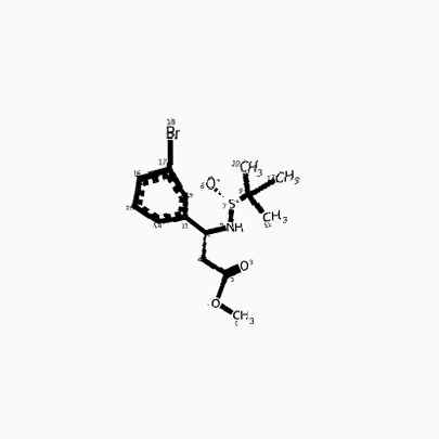 COC(=O)C[C@H](N[S@+]([O-])C(C)(C)C)c1cccc(Br)c1